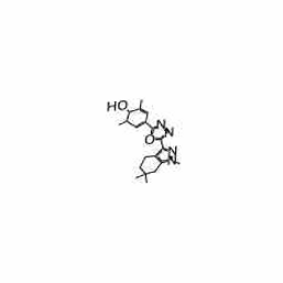 CC1=CC(c2nnc(-c3nn(C)c4c3CCC(C)(C)C4)o2)=CC(C)C1O